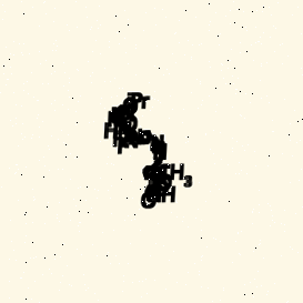 CC(C)Oc1ccn2ncc(C(=O)Nc3cn([C@H]4CC[C@H](CN5CCN(CC#Cc6cccc7c6n(C)c(=O)n7C6CCC(=O)NC6=O)CC5)CC4)nc3C(F)F)c2n1